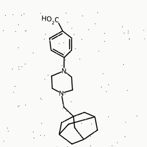 O=C(O)c1ccc(N2CCN(CC34CC5CC(CC(C5)C3)C4)CC2)cc1